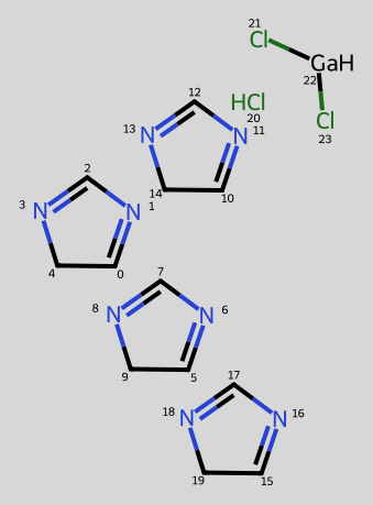 C1=NC=NC1.C1=NC=NC1.C1=NC=NC1.C1=NC=NC1.Cl.[Cl][GaH][Cl]